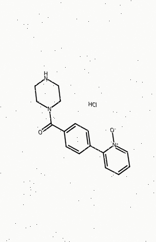 Cl.O=C(c1ccc(-c2cccc[n+]2[O-])cc1)N1CCNCC1